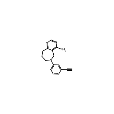 C#Cc1cccc(N2CCCc3ncnc(N)c3C2)c1